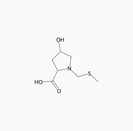 CSCN1CC(O)CC1C(=O)O